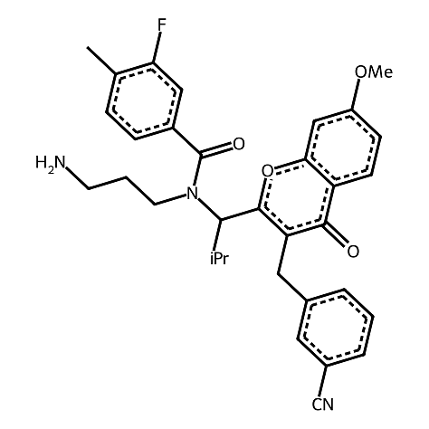 COc1ccc2c(=O)c(Cc3cccc(C#N)c3)c(C(C(C)C)N(CCCN)C(=O)c3ccc(C)c(F)c3)oc2c1